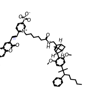 CCCCCC(c1ccccc1)C(C)(C)c1cc(OC)c([C@H]2C=C(CNC(=O)CCCCC[n+]3cc(S(=O)(=O)[O-])ccc3/C=C/c3cc4ccc(N(CC)CC)cc4oc3=O)[C@H]3C[C@@H]2C3(C)C)c(OC)c1